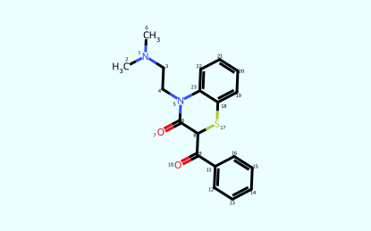 CN(C)CCN1C(=O)C(C(=O)c2ccccc2)Sc2ccccc21